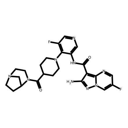 Nc1nn2cc(F)cnc2c1C(=O)Nc1cncc(F)c1N1CCC(C(=O)N2CCN3CCC2C3)CC1